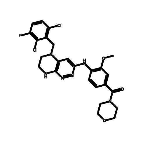 COc1cc(C(=O)N2CCOCC2)ccc1Nc1cc2c(nn1)NCCN2Cc1c(Cl)ccc(F)c1Cl